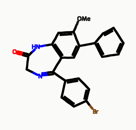 COc1cc2c(cc1-c1ccccc1)C(c1ccc(Br)cc1)=NCC(=O)N2